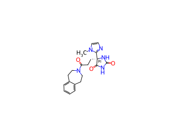 Cn1ccnc1[C@@]1(CCC(=O)N2CCc3ccccc3CC2)NC(=O)NC1=O